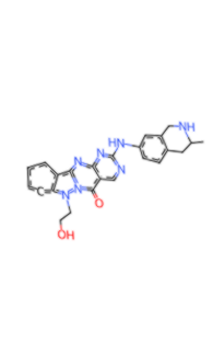 CC1Cc2ccc(Nc3ncc4c(=O)n5c(nc4n3)c3ccccc3n5CCO)cc2CN1